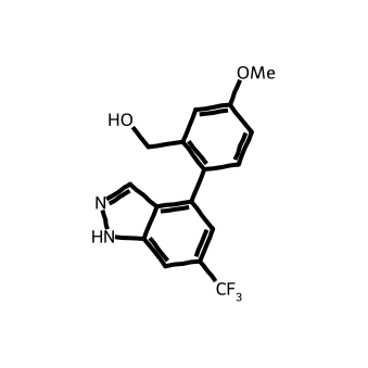 COc1ccc(-c2cc(C(F)(F)F)cc3[nH]ncc23)c(CO)c1